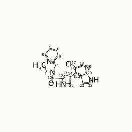 CCN(Cc1ccccn1)C(=O)c1cc(-c2c(Cl)cnc3[nH]ccc23)c[nH]1